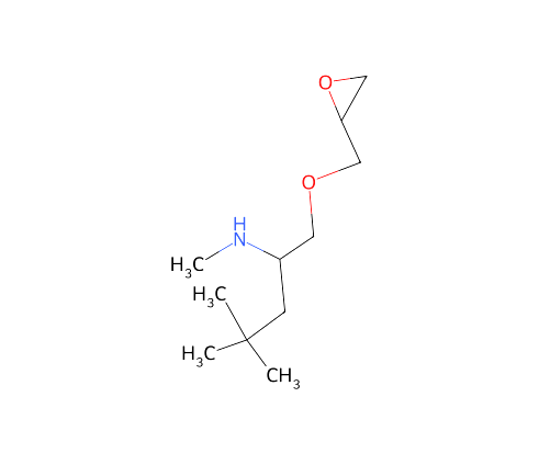 CNC(COCC1CO1)CC(C)(C)C